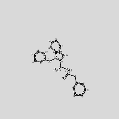 CC(NC(=O)Cc1ccccc1)c1nc2ccccc2n1Cc1ccccc1